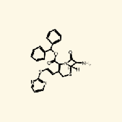 NC1C(=O)N2C(C(=O)OC(c3ccccc3)c3ccccc3)=C(C=CSc3ncccn3)CS[C@@H]12